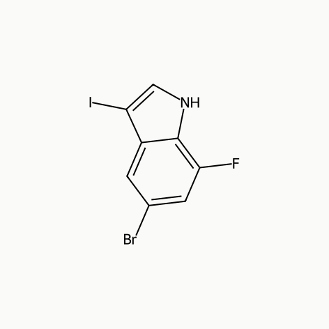 Fc1cc(Br)cc2c(I)c[nH]c12